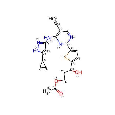 C#Cc1cnc(-c2ccc(C(O)CCOC(C)=O)s2)nc1Nc1cc(C2CC2)[nH]n1